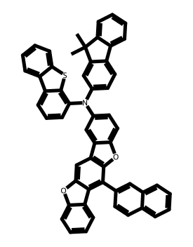 CC1(C)c2ccccc2-c2ccc(N(c3ccc4oc5c(-c6ccc7ccccc7c6)c6c(cc5c4c3)oc3ccccc36)c3cccc4c3sc3ccccc34)cc21